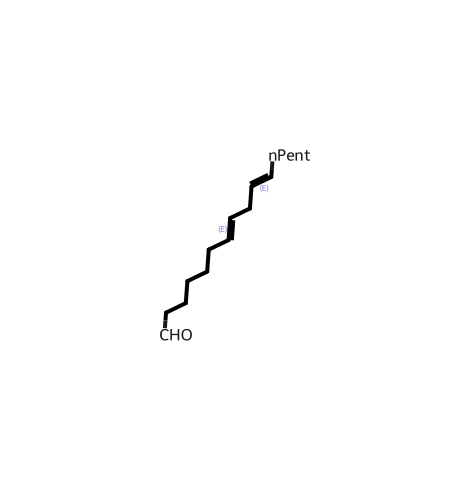 CCCCC/C=C/C/C=C/CCCCCC=O